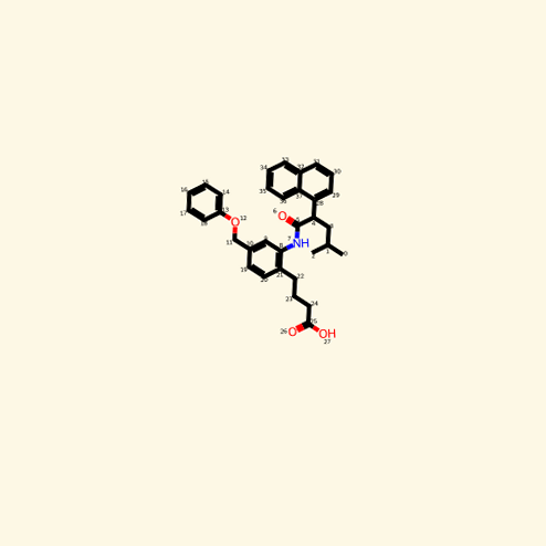 CC(C)CC(C(=O)Nc1cc(COc2ccccc2)ccc1CCCC(=O)O)c1cccc2ccccc12